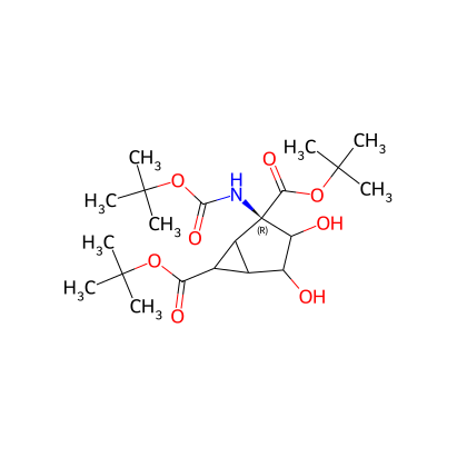 CC(C)(C)OC(=O)N[C@@]1(C(=O)OC(C)(C)C)C(O)C(O)C2C(C(=O)OC(C)(C)C)C21